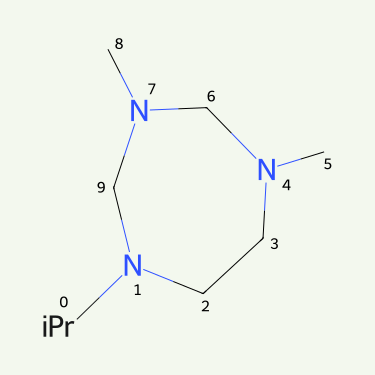 CC(C)N1CCN(C)CN(C)C1